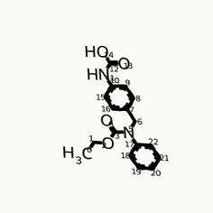 CCOC(=O)N(Cc1ccc(NC(=O)O)cc1)c1ccccc1